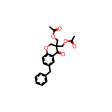 CC(=O)OCC1(COC(C)=O)COc2ccc(Cc3ccccc3)cc2C1=O